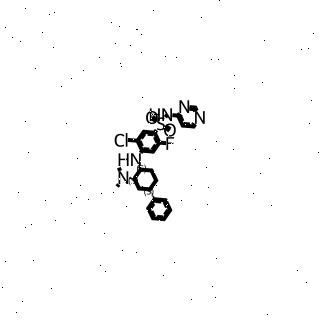 CN(C)[C@H]1C[C@@H](c2ccccc2)CC[C@@H]1Nc1cc(F)c(S(=O)(=O)Nc2ccncn2)cc1Cl